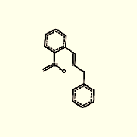 C=[N+]([O-])c1ccccc1C=CCc1ccccc1